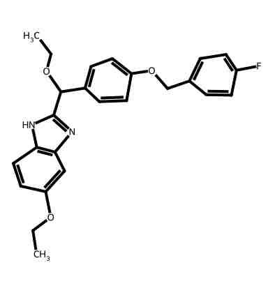 CCOc1ccc2[nH]c(C(OCC)c3ccc(OCc4ccc(F)cc4)cc3)nc2c1